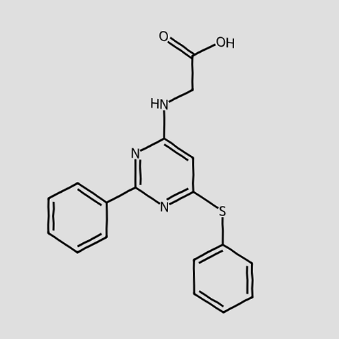 O=C(O)CNc1cc(Sc2ccccc2)nc(-c2ccccc2)n1